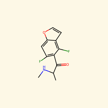 CNC(C)C(=O)c1c(F)cc2occc2c1F